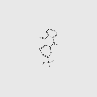 C=Cc1ccccc1N(C)c1cccc(C(F)(F)F)c1